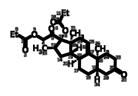 CCC(=O)OCC(=O)[C@]1(OC(=O)CC)[C@H](C)C[C@H]2[C@@H]3CC[C@H]4CC(=O)CC[C@]4(C)C3=CC[C@@]21C